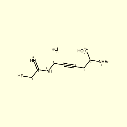 CC(=O)NC(CC#CCNC(=N)CF)C(=O)O.Cl